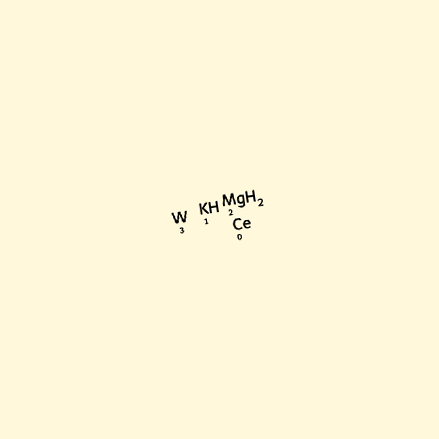 [Ce].[KH].[MgH2].[W]